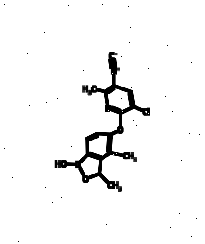 [C-]#[N+]c1cc(Cl)c(Oc2ccc3c(c2C)C(C)OB3O)nc1C